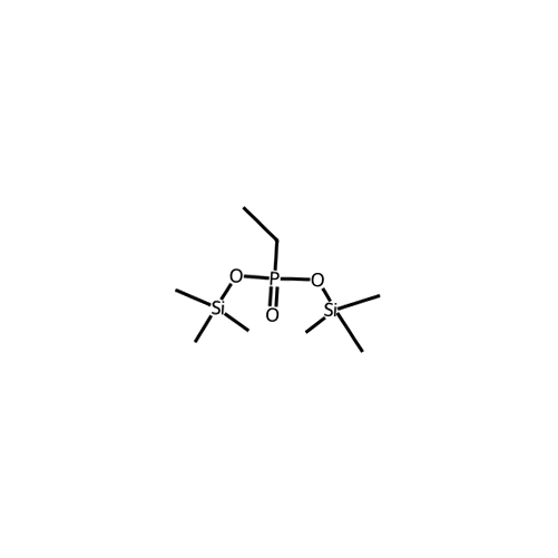 CCP(=O)(O[Si](C)(C)C)O[Si](C)(C)C